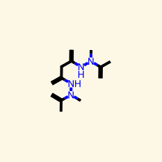 C=C(CC(=C)NN(C)C(=C)C)NN(C)C(=C)C